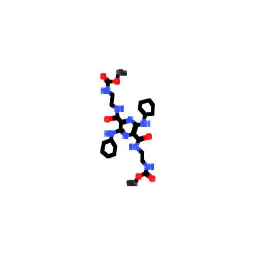 CC(C)(C)OC(=O)NCCNC(=O)c1nc(NC2CCCCC2)c(C(=O)NCCNC(=O)OC(C)(C)C)nc1NC1CCCCC1